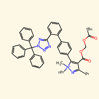 CCC[N+]1(C)N=C(C(C)C)C(C(=O)OCOC(=O)C(C)(C)C)=C1c1ccc(-c2ccccc2-c2nnn(C(c3ccccc3)(c3ccccc3)c3ccccc3)n2)cc1